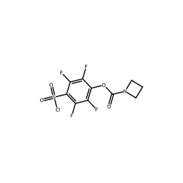 O=C(Oc1c(F)c(F)c(S(=O)(=O)Cl)c(F)c1F)N1CCC1